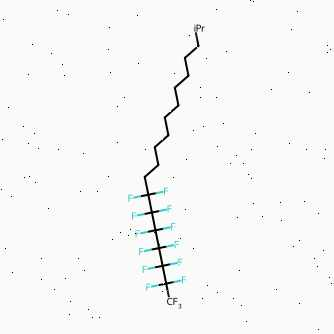 CC(C)CCCCCCCCCCC(F)(F)C(F)(F)C(F)(F)C(F)(F)C(F)(F)C(F)(F)C(F)(F)F